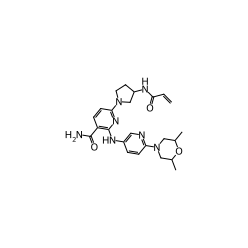 C=CC(=O)NC1CCN(c2ccc(C(N)=O)c(Nc3ccc(N4CC(C)OC(C)C4)nc3)n2)C1